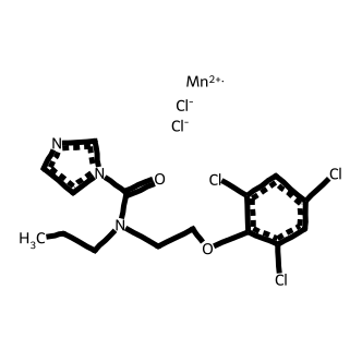 CCCN(CCOc1c(Cl)cc(Cl)cc1Cl)C(=O)n1ccnc1.[Cl-].[Cl-].[Mn+2]